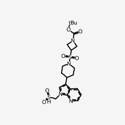 CC(C)(C)OC(=O)N1CC(S(=O)(=O)N2CCC(c3cn(C[SH](=O)=O)c4ncccc34)CC2)C1